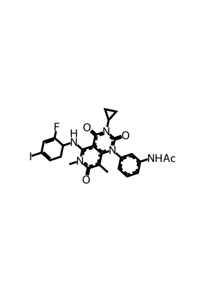 CC(=O)Nc1cccc(-n2c(=O)n(C3CC3)c(=O)c3c(NC4CC=C(I)C=C4F)n(C)c(=O)c(C)c32)c1